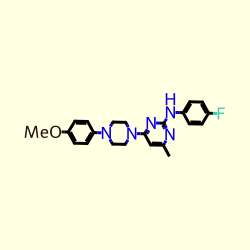 COc1ccc(N2CCN(c3cc(C)nc(Nc4ccc(F)cc4)n3)CC2)cc1